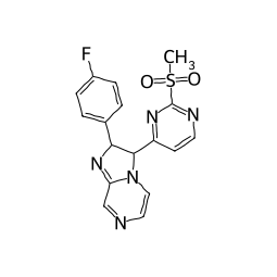 CS(=O)(=O)c1nccc(C2C(c3ccc(F)cc3)N=C3C=NC=CN32)n1